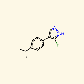 CC(C)c1ccc(-c2cn[nH]c2F)cc1